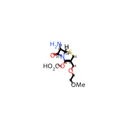 COCCOCC1=C(OC(=O)O)N2C(=O)C(N)[C@@H]2SC1